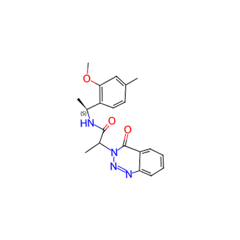 COc1cc(C)ccc1[C@H](C)NC(=O)C(C)n1nnc2ccccc2c1=O